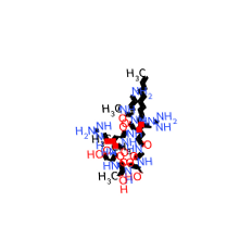 CCCCCCCCCCCCCCCC(=O)NCC(=O)N[C@@H](CO)C(=O)N[C@H](C(=O)N[C@@H](CC(=O)O)C(=O)N[C@@H](CCCNC(=N)N)C(=O)N[C@@H](CC(C)C)C(=O)N[C@@H](CCCNC(=N)N)C(=O)N[C@@H](CCCCN)C(=O)NC)[C@@H](C)O